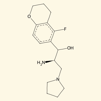 N[C@H](CN1CCCC1)C(O)c1ccc2c(c1F)CCCO2